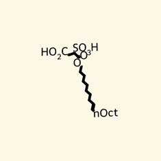 CCCCCCCCC=CCCCCCCCCOC(=O)C(CC(=O)O)S(=O)(=O)O